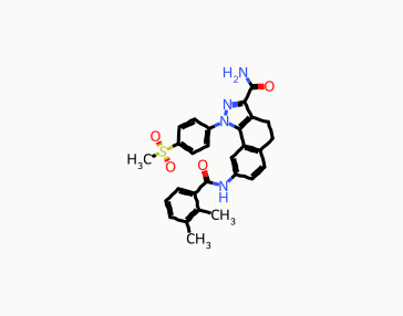 Cc1cccc(C(=O)Nc2ccc3c(c2)-c2c(c(C(N)=O)nn2-c2ccc(S(C)(=O)=O)cc2)CC3)c1C